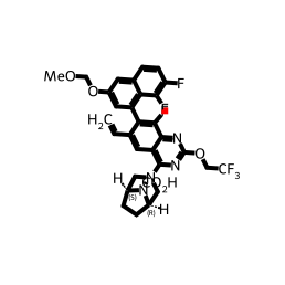 C=Cc1cc2c(N3C[C@H]4CC[C@@H](C3)N4C(=O)O)nc(OCC(F)(F)F)nc2c(F)c1-c1cc(OCOC)cc2ccc(F)c(F)c12